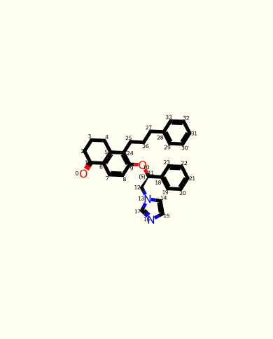 O=C1CCCc2c1ccc(O[C@H](Cn1ccnc1)c1ccccc1)c2CCCc1ccccc1